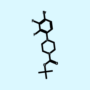 CC(C)(C)OC(=O)N1CCN(c2ccc(Br)c(F)c2F)CC1